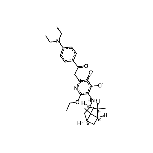 CCOc1nn(CC(=O)c2ccc(N(CC)CC)cc2)c(=O)c(Cl)c1N[C@@H]1C[C@@H]2C[C@H]([C@H]1C)C2(C)C